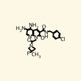 CC1(F)CN(C(=O)Cn2c(=O)c(C(=O)NCc3ccc(Cl)cc3)cc3c(N)c(N)cnc32)C1